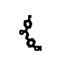 N#Cc1ccc(C=CC(=O)c2ccc(F)cc2)cc1